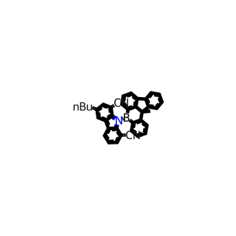 CCCCc1cc(C#N)c2c(c1)c1cccc(C#N)c1n2B1c2ccccc2C2(C)c3ccccc3-c3cccc1c32